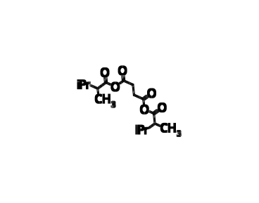 CC(C)C(C)C(=O)OC(=O)CCC(=O)OC(=O)C(C)C(C)C